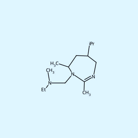 CCN(C)CN1C(C)=NCC(C(C)C)CC1C